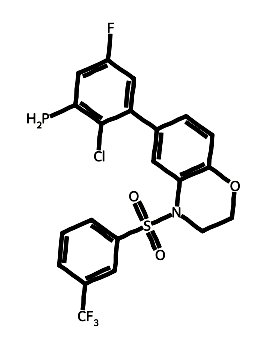 O=S(=O)(c1cccc(C(F)(F)F)c1)N1CCOc2ccc(-c3cc(F)cc(P)c3Cl)cc21